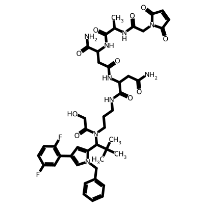 CC(NC(=O)CN1C(=O)C=CC1=O)C(=O)NC(CC(=O)NC(CC(N)=O)C(=O)NCCCN(C(=O)CO)C(c1cc(-c2cc(F)ccc2F)cn1Cc1ccccc1)C(C)(C)C)C(N)=O